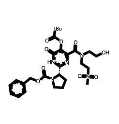 CC(C)(C)C(=O)Oc1c(C(=O)N(CCO)CCS(C)(=O)=O)nc([C@@H]2CCCN2C(=O)OCc2ccccc2)[nH]c1=O